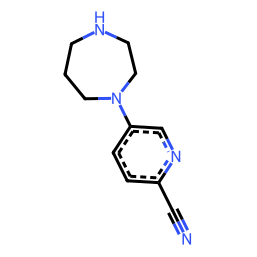 N#Cc1ccc(N2CCCNCC2)cn1